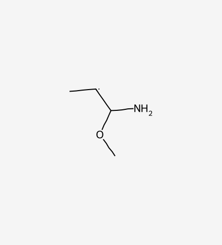 C[CH]C(N)OC